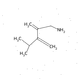 C=C(CN)C(=C)C(C)C